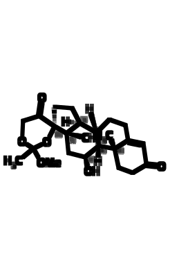 COC1(C)OCC(=O)[C@]2(CC[C@H]3[C@@H]4CCC5=CC(=O)CC[C@]5(C)[C@@H]4[C@@H](O)C[C@@]32C)O1